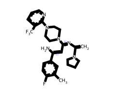 C=C(/N=C(\C=C(/N)c1ccc(F)c(C)c1)N1CCN(c2ncccc2C(F)(F)F)CC1)N1CCCC1